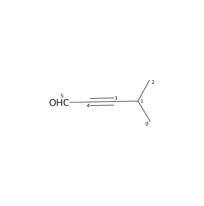 CC(C)C#CC=O